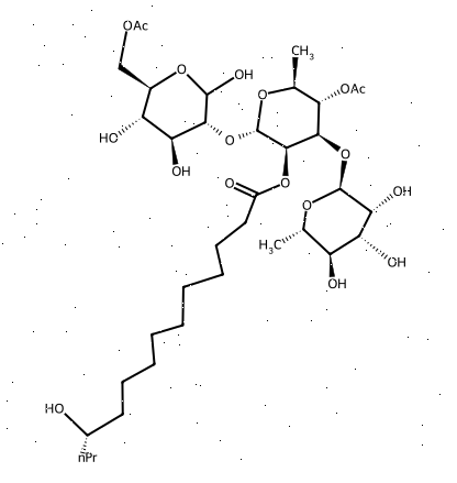 CCC[C@H](O)CCCCCCCCCC(=O)O[C@H]1[C@H](O[C@H]2C(O)O[C@H](COC(C)=O)[C@@H](O)[C@@H]2O)O[C@@H](C)[C@H](OC(C)=O)[C@H]1O[C@@H]1O[C@@H](C)[C@H](O)[C@@H](O)[C@H]1O